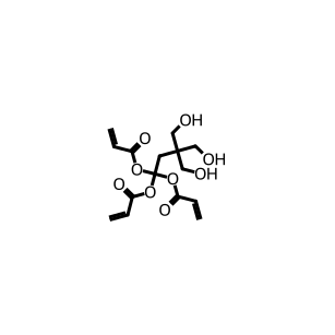 C=CC(=O)OC(CC(CO)(CO)CO)(OC(=O)C=C)OC(=O)C=C